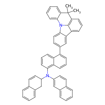 CC1(C)c2ccccc2-n2c3ccc(-c4cccc5c(N(c6ccc7ccccc7c6)C6C=Cc7ccccc7C6)cccc45)cc3c3cccc1c32